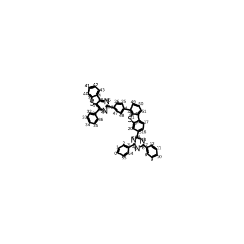 c1ccc(-c2nc(-c3ccccc3)nc(-c3ccc4c(c3)sc3c(-c5ccc(-c6nc(-c7ccccc7)c7sc8ccccc8c7n6)cc5)cccc34)n2)cc1